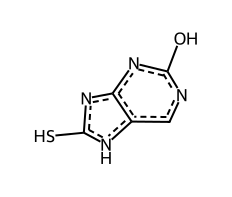 Oc1ncc2[nH]c(S)nc2n1